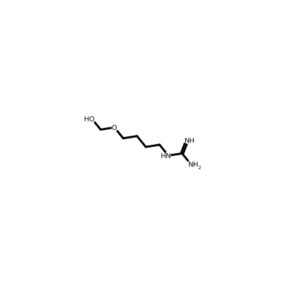 N=C(N)NCCCCOCO